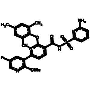 COc1ncc(F)cc1-c1ccc(C(=O)NS(=O)(=O)c2cccc(N)n2)c(Oc2c(C)cc(C)cc2C)n1